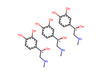 CNC[C@H](O)c1ccc(O)c(O)c1.CNC[C@H](O)c1ccc(O)c(O)c1.CNC[C@H](O)c1ccc(O)c(O)c1